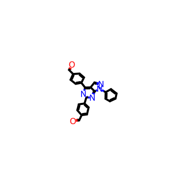 O=Cc1ccc(-c2nc(-c3ccc(C=O)cc3)c3cnn(-c4ccccc4)c3n2)cc1